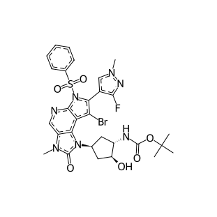 Cn1cc(-c2c(Br)c3c(ncc4c3n([C@H]3C[C@H](NC(=O)OC(C)(C)C)[C@@H](O)C3)c(=O)n4C)n2S(=O)(=O)c2ccccc2)c(F)n1